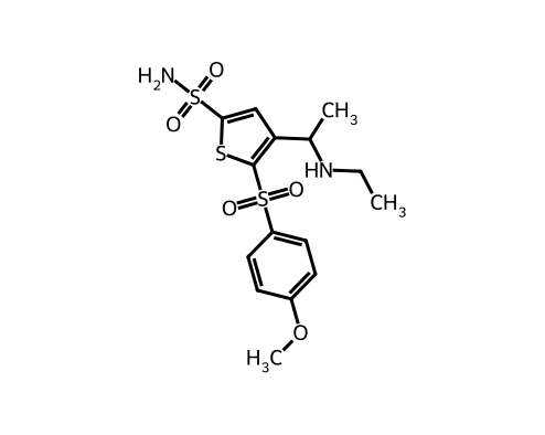 CCNC(C)c1cc(S(N)(=O)=O)sc1S(=O)(=O)c1ccc(OC)cc1